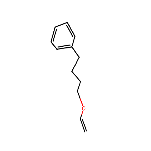 C=COCCCCc1ccccc1